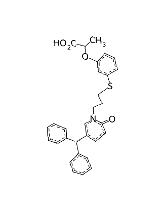 CC(Oc1cccc(SCCCn2cc(C(c3ccccc3)c3ccccc3)ccc2=O)c1)C(=O)O